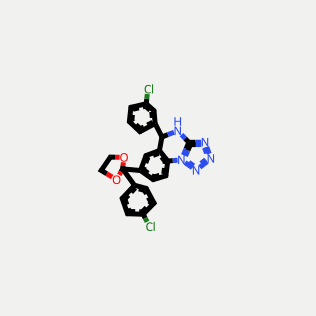 Clc1ccc(C2(c3ccc4c(c3)C(c3cccc(Cl)c3)Nc3nnnn3-4)OCCO2)cc1